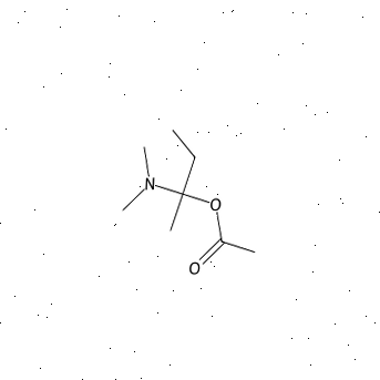 CCC(C)(OC(C)=O)N(C)C